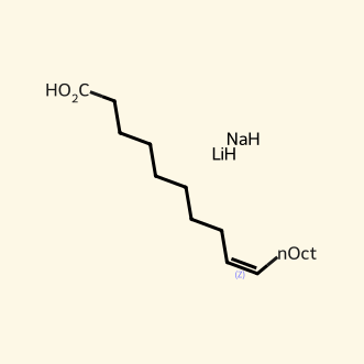 CCCCCCCC/C=C\CCCCCCCC(=O)O.[LiH].[NaH]